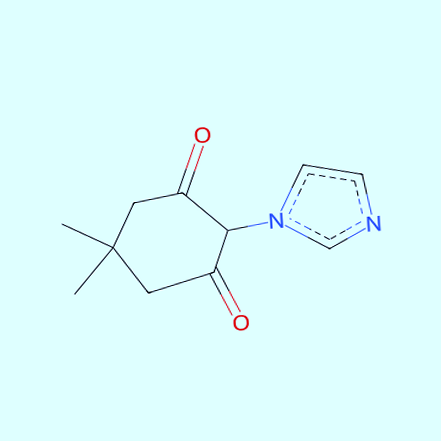 CC1(C)CC(=O)C(n2ccnc2)C(=O)C1